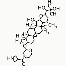 C[C@@H]1CC(C(O)C(C)(C)O)OC2C1C1(C)CCC34CC35CCC(OC3CN(C(=O)C6CNC6)CCO3)C(C)(C)[C@@H]5CCC4C1(C)[C@H]2O